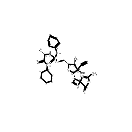 C#C[C@@]1(O)[C@H](O)[C@@H](COP(=S)(N[C@@H](C)C(=O)OC2CCCCC2)Oc2ccccc2)O[C@H]1N1C=NC12N=C(N)NC2=O